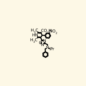 CC1=C(C(=O)O)C(c2cccc([N+](=O)[O-])c2)C(c2nc(CN(Cc3ccccc3)C(C)C)no2)=C(C)N1